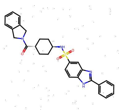 O=C([C@H]1CC[C@H](NS(=O)(=O)c2ccc3[nH]c(-c4ccccc4)nc3c2)CC1)N1Cc2ccccc2C1